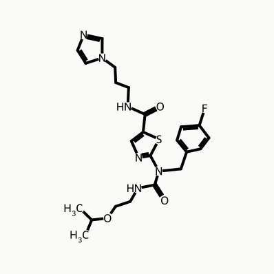 CC(C)OCCNC(=O)N(Cc1ccc(F)cc1)c1ncc(C(=O)NCCCn2ccnc2)s1